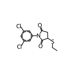 CCSC1CC(=O)N(c2cc(Cl)cc(Cl)c2)C1=O